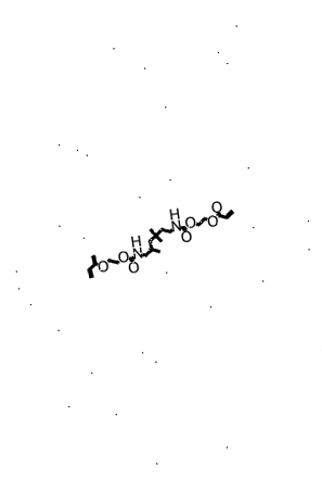 C=CC(=C)OCCOC(=O)NCC(C)CC(C)(C)CCNC(=O)OCCOC(=O)C=C